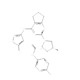 CC(C)c1cc(Nc2nc(N3C[C@@H](F)C[C@@H]3C(=O)Nc3ccc(F)nc3)nc3c2CCC3)n[nH]1